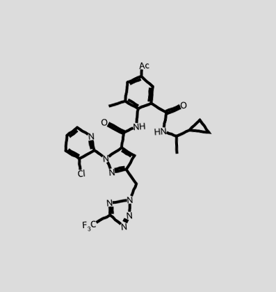 CC(=O)c1cc(C)c(NC(=O)c2cc(Cn3nnc(C(F)(F)F)n3)nn2-c2ncccc2Cl)c(C(=O)NC(C)C2CC2)c1